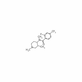 CC1CN(C)CCC1N(C)C(=O)c1ccc(C(F)(F)F)cc1F